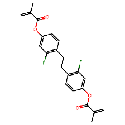 C=C(C)C(=O)Oc1ccc(CCc2ccc(OC(=O)C(=C)C)cc2F)c(F)c1